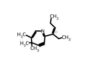 CC/C=C(/CC)C1=NC=C(C)C(C)(C)C#C1